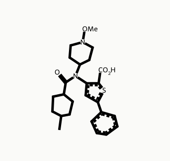 CON1CCC(N(C(=O)C2CCC(C)CC2)c2cc(-c3ccccc3)sc2C(=O)O)CC1